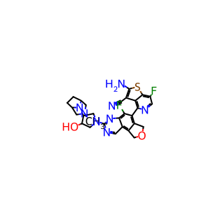 CN1CC2CCC(C1)N2C1CN(c2ncc3c4c(c(-c5ncc(F)c6sc(N)c(C#N)c56)c(F)c3n2)COC4)CC1O